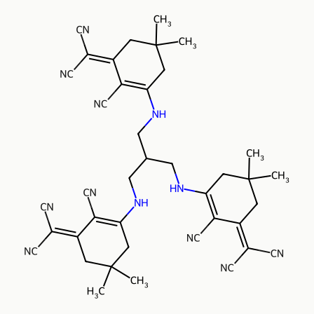 CC1(C)CC(NCC(CNC2=C(C#N)C(=C(C#N)C#N)CC(C)(C)C2)CNC2=C(C#N)C(=C(C#N)C#N)CC(C)(C)C2)=C(C#N)C(=C(C#N)C#N)C1